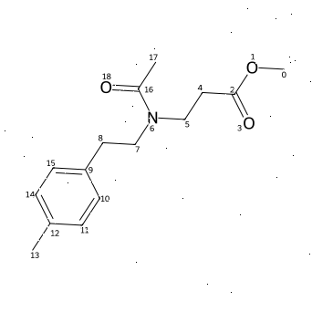 COC(=O)CCN(CCc1ccc(C)cc1)C(C)=O